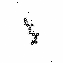 C/C(=C1\Cc2ccccc2O1)c1ccc(N(c2ccccc2)c2ccc(-c3cccc(-c4ccc(N(c5ccccc5)c5ccc(-c6cccc7c6oc6ccccc67)cc5)cc4)c3)cc2)cc1